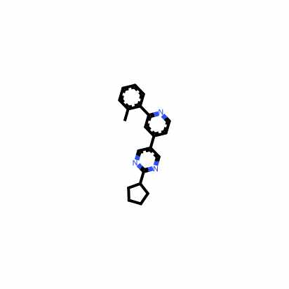 Cc1ccccc1-c1cc(-c2cnc(C3CCCC3)nc2)ccn1